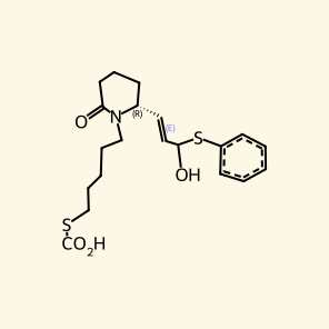 O=C(O)SCCCCCN1C(=O)CCC[C@@H]1/C=C/C(O)Sc1ccccc1